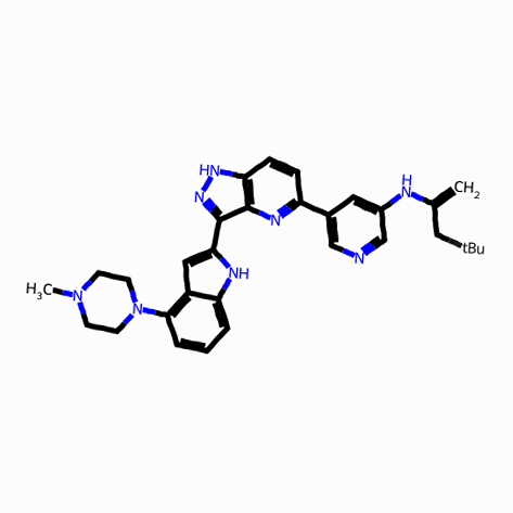 C=C(CC(C)(C)C)Nc1cncc(-c2ccc3[nH]nc(-c4cc5c(N6CCN(C)CC6)cccc5[nH]4)c3n2)c1